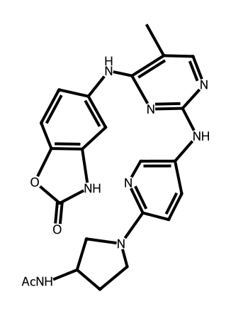 CC(=O)NC1CCN(c2ccc(Nc3ncc(C)c(Nc4ccc5oc(=O)[nH]c5c4)n3)cn2)C1